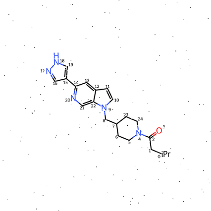 CC(C)CC(=O)N1CCC(Cn2ccc3cc(-c4cn[nH]c4)ncc32)CC1